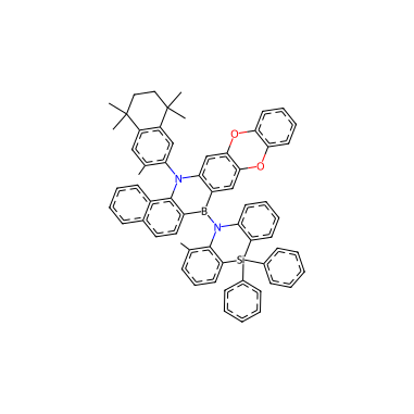 Cc1cc2c(cc1N1c3cc4c(cc3B(N3c5ccccc5[Si](c5ccccc5)(c5ccccc5)c5cccc(C)c53)c3ccc5ccccc5c31)Oc1ccccc1O4)C(C)(C)CCC2(C)C